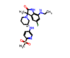 CCNc1cc(F)cc2c1NC(=O)C2(C)N1CCC[C@@H](Nc2ccc(S(C)(=O)=O)nc2)C1